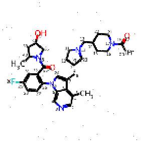 Cc1cncc2c1c(C[C@@H]1CCN(CC3CCN(C(=O)C(C)C)CC3)C1)cn2-c1ccc(F)cc1C(=O)N1CC(O)CC1C